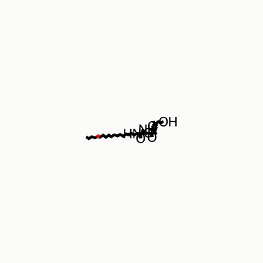 CCCCCCCCCCCCCCCCCCNC(=O)C(COC(=O)C1(C)CC1(C)OC(C)(C)CCO)NC